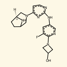 OC1CN(c2ncc(Nc3nccc(N4CC5CC[C@@H](C4)N5)n3)cc2F)C1